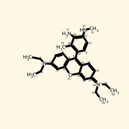 CCN(CC)c1ccc2c(-c3ccc(NC)c(N)c3C)c3ccc(=[N+](CC)CC)cc-3oc2c1